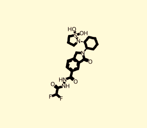 O=C(NNC(=O)C(F)F)c1ccc2c(c1)C(=O)N([C@@H]1CCCC[C@H]1N1CCCS1(O)O)C2